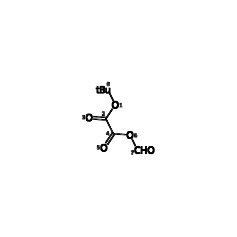 CC(C)(C)OC(=O)C(=O)OC=O